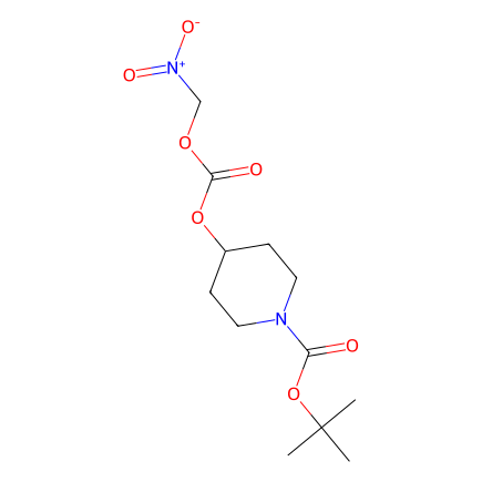 CC(C)(C)OC(=O)N1CCC(OC(=O)OC[N+](=O)[O-])CC1